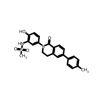 Cc1ccc(-c2ccc3c(c2)CCN(c2ccc(O)c(NS(C)(=O)=O)c2)C3=O)cc1